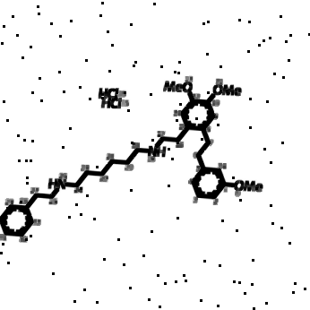 COc1cccc(CCc2cc(OC)c(OC)cc2CCNCCCCCCNCCc2ccccc2)c1.Cl.Cl